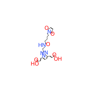 O=C(O)C=Cc1ccc(C=CC(=O)O)n2nc(CCNC(=O)CCCCCN3C(=O)C=CC3=O)nc12